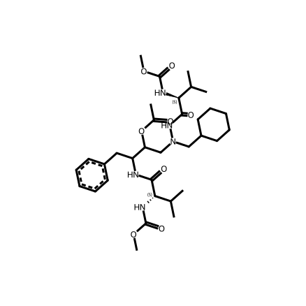 COC(=O)N[C@H](C(=O)NC(Cc1ccccc1)C(CN(CC1CCCCC1)NC(=O)[C@@H](NC(=O)OC)C(C)C)OC(C)=O)C(C)C